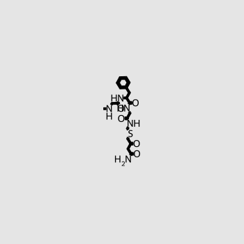 CNCC(=O)NC(Cc1ccccc1)C(=O)NCC(=O)NCSCC(=O)CC(N)=O